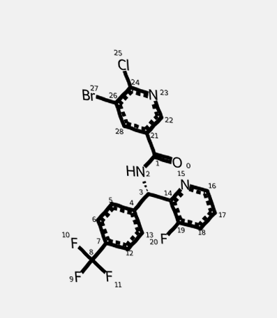 O=C(N[C@@H](c1ccc(C(F)(F)F)cc1)c1ncccc1F)c1cnc(Cl)c(Br)c1